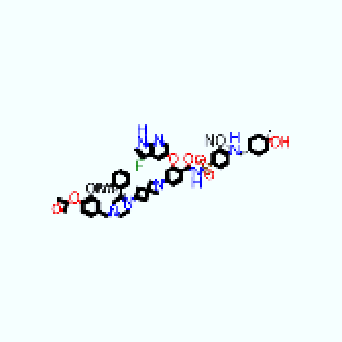 COc1cc(CN2CCN(C3CC4(C3)CN(c3ccc(C(=O)NS(=O)(=O)c5ccc(NC[C@H]6CC[C@](C)(O)CC6)c([N+](=O)[O-])c5)c(Oc5cnc6[nH]cc(F)c6c5)c3)C4)[C@H](c3ccccc3C(C)C)C2)ccc1OC1COC1